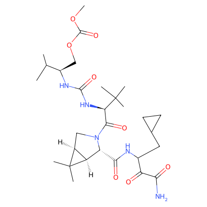 COC(=O)OC[C@@H](NC(=O)N[C@H](C(=O)N1C[C@H]2[C@@H]([C@H]1C(=O)NC(CC1CC1)C(=O)C(N)=O)C2(C)C)C(C)(C)C)C(C)C